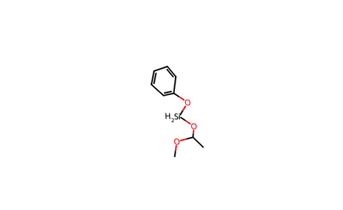 COC(C)O[SiH2]Oc1ccccc1